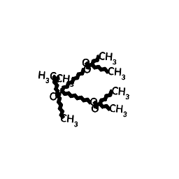 CCCCCCCC(=O)N(CCCN(C)C)C(CCCCCCCCCOC(=O)C(CCCC)CCCCCC)CCCCCCCCCOC(=O)C(CCCC)CCCCCC